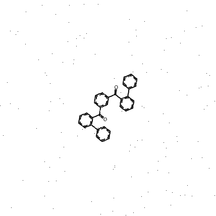 O=C(c1cccc(C(=O)c2ccccc2-c2ccccc2)c1)c1ccccc1-c1ccccc1